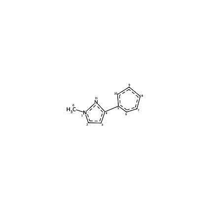 Cn1ccc(-c2cc[c]cc2)n1